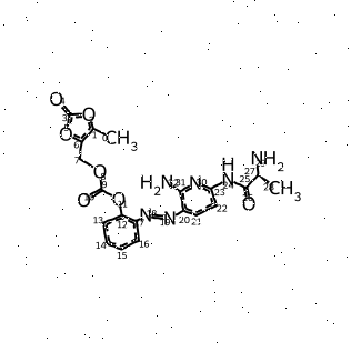 Cc1oc(=O)oc1COC(=O)Oc1ccccc1/N=N/c1ccc(NC(=O)[C@H](C)N)nc1N